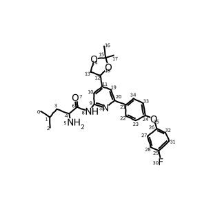 CC(C)CC(N)C(=O)Nc1cc(C2COC(C)(C)O2)cc(-c2ccc(Oc3ccc(F)cc3)cc2)n1